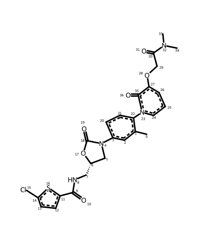 Cc1cc(N2C[C@H](CNC(=O)c3ccc(Cl)s3)OC2=O)ccc1-n1cccc(OCC(=O)N(C)C)c1=O